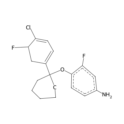 Nc1ccc(OC2(C3=CC=C(Cl)C(F)C3)CCCCC2)c(F)c1